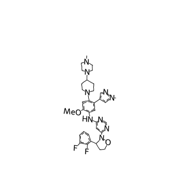 COc1cc(N2CCC(N3CCN(C)CC3)CC2)c(-c2cnn(C)c2)cc1Nc1cc(N2OCCC2c2cccc(F)c2F)ncn1